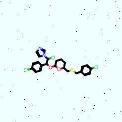 Clc1ccc(CSCC2CCCC(OC(c3ccc(Cl)cc3)C(Cl)n3ccnc3)O2)cc1